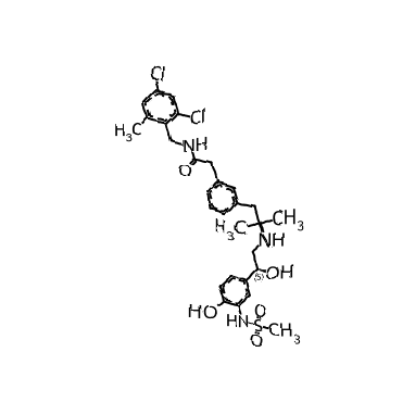 Cc1cc(Cl)cc(Cl)c1CNC(=O)Cc1cccc(CC(C)(C)NC[C@@H](O)c2ccc(O)c(NS(C)(=O)=O)c2)c1